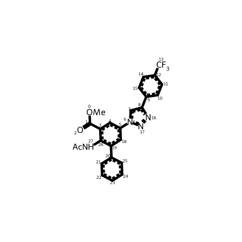 COC(=O)c1cc(-n2cc(-c3ccc(C(F)(F)F)cc3)nn2)cc(-c2ccccc2)c1NC(C)=O